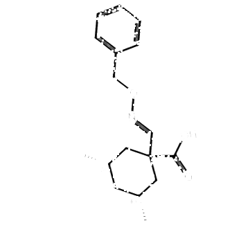 C[C@@H]1C[C@H](C)CC(C=NOCc2ccccc2)(C(=O)O)C1